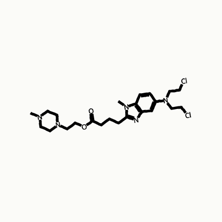 CN1CCN(CCOC(=O)CCCc2nc3cc(N(CCCl)CCCl)ccc3n2C)CC1